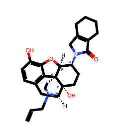 C=CCN1CC[C@]23c4c5ccc(O)c4O[C@H]2[C@@H](N2CC4=C(CCCC4)C2=O)CC[C@@]3(O)[C@H]1C5